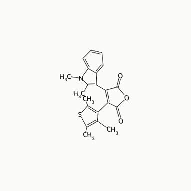 Cc1sc(C)c(C2=C(c3c(C)n(C)c4ccccc34)C(=O)OC2=O)c1C